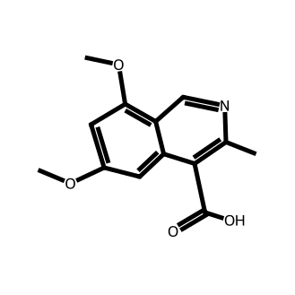 COc1cc(OC)c2cnc(C)c(C(=O)O)c2c1